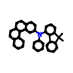 CC1(C)c2ccccc2-c2c(N(c3ccccc3)c3ccc4ccc5ccc6ccccc6c5c4c3)cccc21